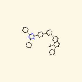 CC1(C)c2ccccc2-c2ccc3ccc(-c4cccc(-c5ccc(-c6nc(-c7ccccc7)nc(-c7ccccc7)n6)cc5)c4)cc3c21